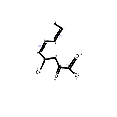 C/C=C\C=C/C(CC)CC(=O)C(=O)CC